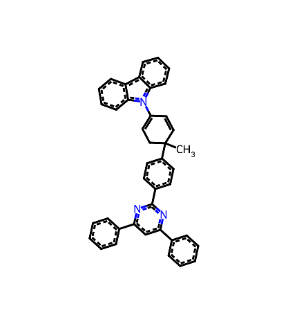 CC1(c2ccc(-c3nc(-c4ccccc4)cc(-c4ccccc4)n3)cc2)C=CC(n2c3ccccc3c3ccccc32)=CC1